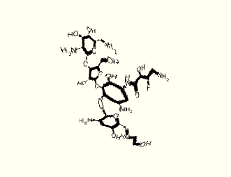 NC[C@@H](F)[C@H](O)C(=O)N[C@@H]1C[C@H](N)[C@@H](O[C@H]2O[C@H](CNCCO)[C@@H](O)C[C@H]2N)[C@H](O[C@@H]2O[C@H](CO)[C@@H](O[C@H]3O[C@@H](CN)[C@@H](O)[C@H](O)[C@H]3N)[C@H]2O)[C@H]1O